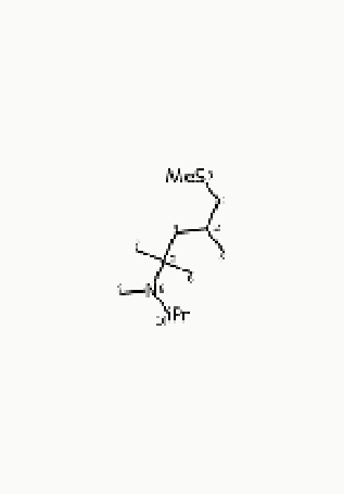 CSCC(C)CC(C)(C)N(C)C(C)C